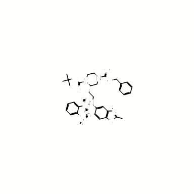 Cc1nc2cc(N(CC[C@@H]3CN(C(=O)OCc4ccccc4)CCN3C(=O)OC(C)(C)C)S(=O)(=O)c3ccccc3[N+](=O)[O-])ccc2s1